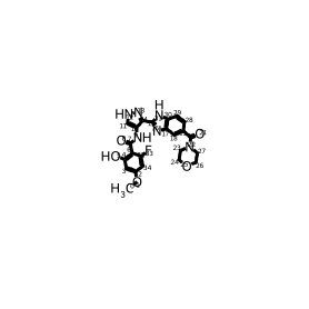 COc1cc(O)c(C(=O)Nc2c[nH]nc2-c2nc3cc(C(=O)N4CCOCC4)ccc3[nH]2)c(F)c1